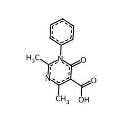 Cc1nc(C)n(-c2ccccc2)c(=O)c1C(=O)O